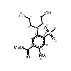 COC(=O)c1cc(N(CCO)CCO)c(S(C)(=O)=O)cc1[N+](=O)[O-]